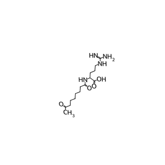 CC(=O)CCCCCCC(=O)NC(CCCNC(=N)N)C(=O)O